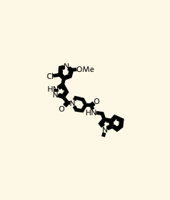 COc1cc(-c2cc(C(=O)N3CCC(C(=O)NCc4cn(C)c5ccccc45)CC3)n[nH]2)c(Cl)cn1